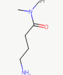 CC(C)N(C)C(=O)CCCN